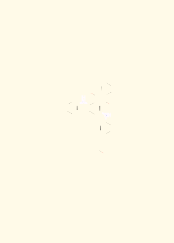 CCC(C)C(=O)OCc1ccc(Nc2ccc(Nc3ccc(C)cc3)c3c2C(=O)c2ccccc2C3=O)cc1